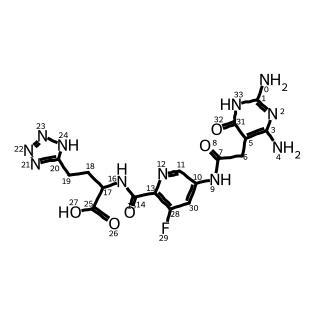 Nc1nc(N)c(CC(=O)Nc2cnc(C(=O)NC(CCc3nnn[nH]3)C(=O)O)c(F)c2)c(=O)[nH]1